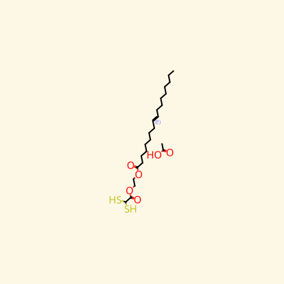 CC(=O)O.CCCCCCCC/C=C/CCCCCCCC(=O)OCCOC(=O)C(S)S